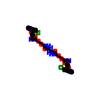 O=C(NCCCCNC(=O)NCCOCCOCCNS(=O)(=O)c1ccc(O[C@H]2c3cc(Cl)ccc3C[C@@H]2N2CCCCC2)cc1)NCCOCCOCCNS(=O)(=O)c1ccc(O[C@H]2c3cc(Cl)ccc3CC2N2CCCCC2)cc1